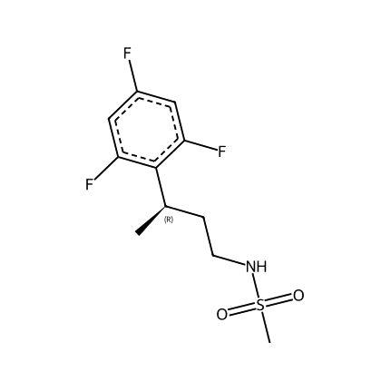 C[C@H](CCNS(C)(=O)=O)c1c(F)cc(F)cc1F